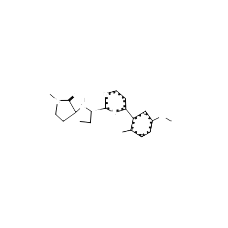 CCOc1ccc(F)c(-c2ccnc([C@H]3CC[C@@]4(CCN(C)C4=O)N3)n2)c1